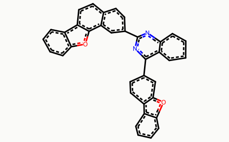 c1ccc2c(-c3ccc4c(c3)oc3ccccc34)nc(-c3ccc4ccc5c6ccccc6oc5c4c3)nc2c1